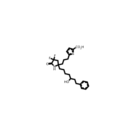 O=C(O)c1ccc(CCCC2(CCCCC(O)CCc3ccccc3)CC(F)(F)C(=O)N2)s1